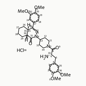 COc1ccc(C[C@H](N)C(=O)N2CCC(N3N=C(c4ccc(OC)c(OC)c4)[C@H]4CCCC[C@H]4C3=O)CC2)cc1OC.Cl